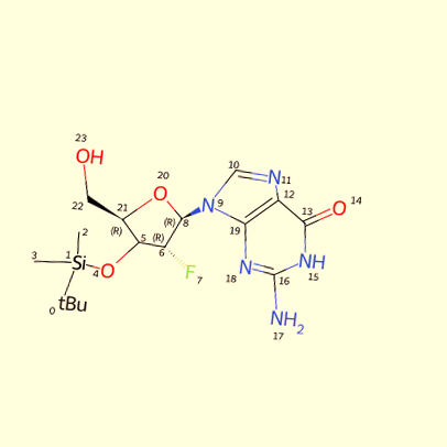 CC(C)(C)[Si](C)(C)OC1[C@@H](F)[C@H](n2cnc3c(=O)[nH]c(N)nc32)O[C@@H]1CO